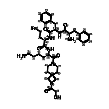 CC(C)CC[C@@H](NC(=O)[C@@H](Cc1ccccc1)NC(=O)C(N)Cc1ccccc1)C(=O)N[C@H](CCCCN)C(=O)N1CCC2(CC1)CN(C(=O)CO)C2